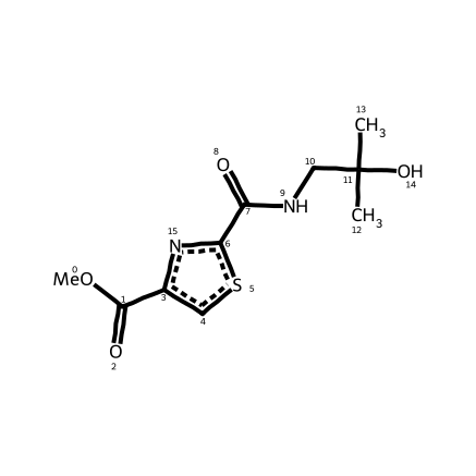 COC(=O)c1csc(C(=O)NCC(C)(C)O)n1